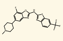 CN1CCC(c2cc(F)c3oc(Nc4nc5ccc(C(F)(F)F)cc5s4)nc3c2)CC1